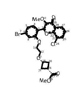 COc1c(-c2ccc(Br)cc2OCCO[C@H]2C[C@@H](C(=O)OC)C2)oc2c(Cl)cccc2c1=O